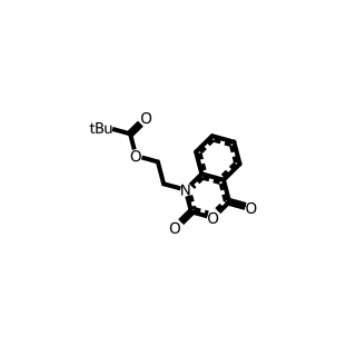 CC(C)(C)C(=O)OCCn1c(=O)oc(=O)c2ccccc21